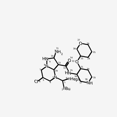 CCCCCCCC(CCCC)N1CC(Cl)CN2NC(N)C(C(=O)NC3CNCCC3OC3CCCOC3)C21